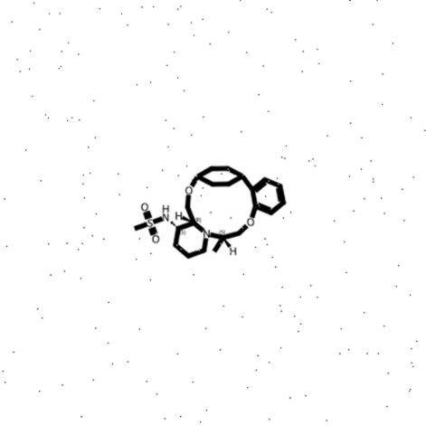 C[C@H]1COc2ccccc2C2CCC(CC2)OC[C@H]2[C@@H](NS(C)(=O)=O)CCCN12